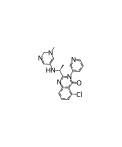 C[C@H](NC1=CN(C)CN=C1)c1nc2cccc(Cl)c2c(=O)n1-c1cccnc1